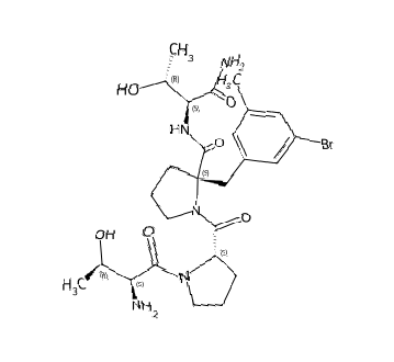 Cc1cc(Br)cc(C[C@]2(C(=O)N[C@H](C(N)=O)[C@@H](C)O)CCCN2C(=O)[C@@H]2CCCN2C(=O)[C@@H](N)[C@@H](C)O)c1